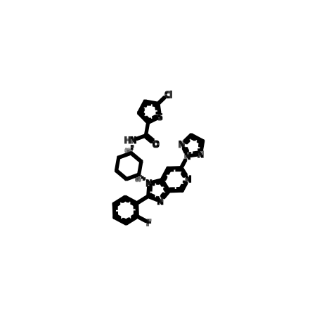 O=C(N[C@H]1CCC[C@@H](n2c(-c3ccccc3F)nc3cnc(-n4nccn4)cc32)C1)c1ccc(Cl)s1